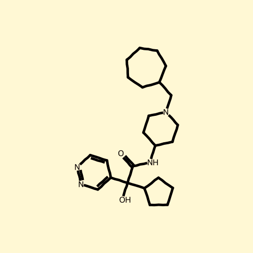 O=C(NC1CCN(CC2CCCCCC2)CC1)C(O)(c1ccnnc1)C1CCCC1